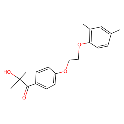 Cc1ccc(OCCOc2ccc(C(=O)C(C)(C)O)cc2)c(C)c1